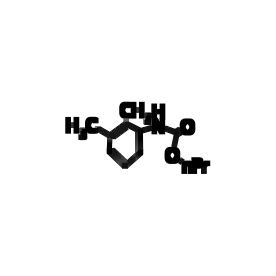 CCCOC(=O)Nc1cccc(C)c1C